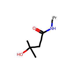 CC(C)NC(=O)CC(C)(C)O